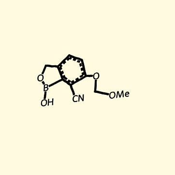 COCOc1ccc2c(c1C#N)B(O)OC2